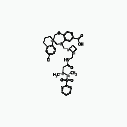 C[C@H](CC(=O)NC[C@@H]1CC[C@H]1CN1C[C@@]2(CCCc3cc(Cl)ccc32)COc2ccc(C(=O)O)cc21)[C@H](C)S(=O)(=O)c1ncccn1